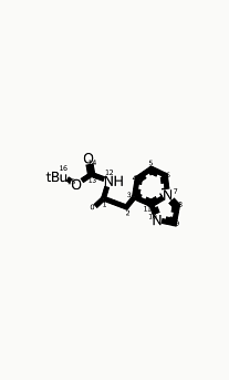 CC(Cc1cccn2ccnc12)NC(=O)OC(C)(C)C